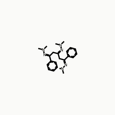 CN(C)N=C(C/C(=N\N(C)C)c1ccccc1)C/C(=N\N(C)C)c1ccccc1